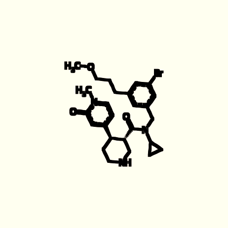 COCCCc1cc(Br)cc(CN(C(=O)[C@@H]2CNCC[C@H]2c2ccn(C)c(=O)c2)C2CC2)c1